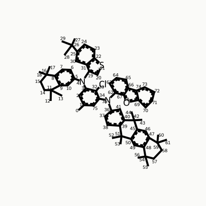 Cc1cc(N(c2ccc3c(c2)C(C)(C)CCC3(C)C)c2csc3ccc(C(C)(C)C)cc23)c(Cl)c(N(c2ccc3c(c2)C(C)(C)c2cc4c(cc2C3(C)C)C(C)(C)CCC4(C)C)c2cccc3c2oc2ccccc23)c1